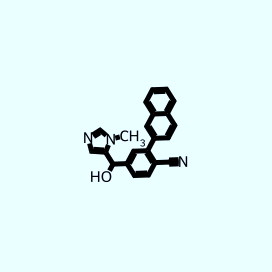 Cn1cncc1C(O)c1ccc(C#N)c(-c2ccc3ccccc3c2)c1